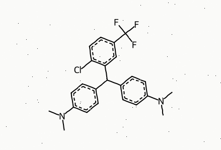 CN(C)c1ccc(C(c2ccc(N(C)C)cc2)c2cc(C(F)(F)F)ccc2Cl)cc1